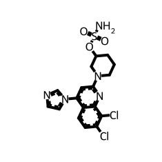 NS(=O)(=O)OC1CCCN(c2cc(-n3ccnc3)c3ccc(Cl)c(Cl)c3n2)C1